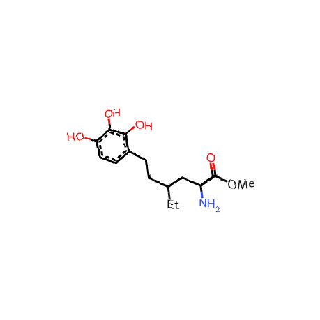 CCC(CCc1ccc(O)c(O)c1O)CC(N)C(=O)OC